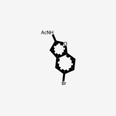 CC(=O)Nc1cc2cc(Br)ccc2o1